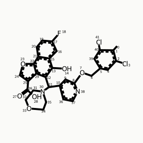 Cc1c(Cl)cc(COc2cc(C(c3c(O)c4cc(F)ccc4c4occ(C(=O)O)c34)N3CCOCC3)ccn2)cc1Cl